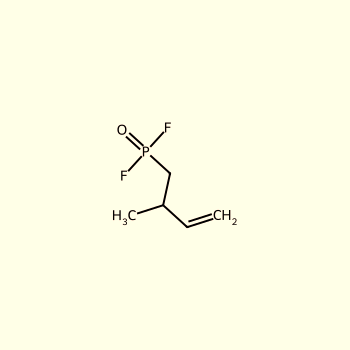 C=CC(C)CP(=O)(F)F